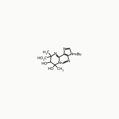 CCCCn1cnc2c1N=CN1C2=NC(C)(C(=O)O)C(O)C1(C)O